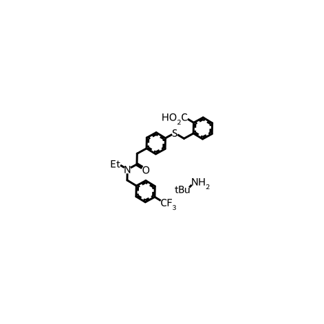 CC(C)(C)N.CCN(Cc1ccc(C(F)(F)F)cc1)C(=O)Cc1ccc(SCc2ccccc2C(=O)O)cc1